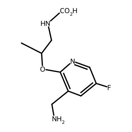 CC(CNC(=O)O)Oc1ncc(F)cc1CN